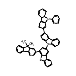 CC1(C)c2ccccc2-c2ccc(-c3cc(-n4c5ccccc5c5cc(-c6ccc7c(c6)N(c6ccccc6)C6C=CC=CC76)ccc54)cc4c3sc3ccccc34)cc21